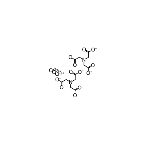 O=C([O-])CN(CC(=O)[O-])CC(=O)[O-].O=C([O-])CN(CC(=O)[O-])CC(=O)[O-].[Cr+2].[Cr+2].[Cr+2]